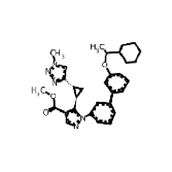 COC(=O)c1cnn(-c2cccc(-c3cccc(OC(C)C4CCCCC4)c3)c2)c1[C@@H]1C[C@H]1c1cn(C)nn1